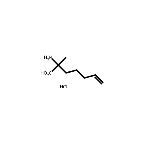 C=CCCCC(C)(N)C(=O)O.Cl